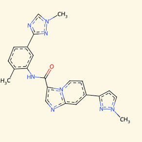 Cc1ccc(-c2ncn(C)n2)cc1NC(=O)c1cnc2cc(-c3ccn(C)n3)ccn12